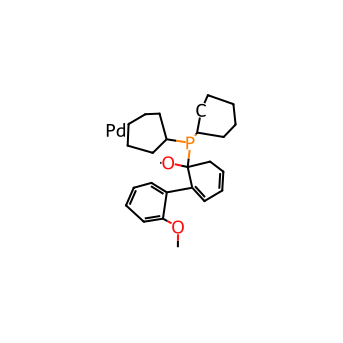 COc1ccccc1C1=CC=CCC1(OC)P(C1CCCCC1)C1CCCCC1.[Pd]